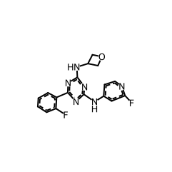 Fc1cc(Nc2nc(NC3COC3)nc(-c3ccccc3F)n2)ccn1